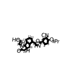 CC(C)Oc1ccc(-c2ncc(-c3cccc4c3C[C@@H]3CC(=O)N(CCO)[C@H]43)o2)cc1C#N